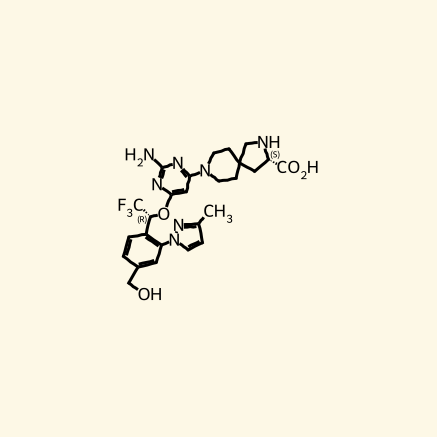 Cc1ccn(-c2cc(CO)ccc2[C@@H](Oc2cc(N3CCC4(CC3)CN[C@H](C(=O)O)C4)nc(N)n2)C(F)(F)F)n1